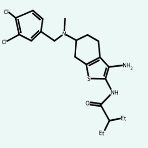 CCC(CC)C(=O)Nc1sc2c(c1N)CCC(N(C)Cc1ccc(Cl)c(Cl)c1)C2